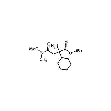 CON(C)C(=O)CC(N)(C(=O)OC(C)(C)C)C1CCCCC1